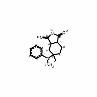 CC1(N(N)c2ccccc2)CCC2C(=O)OC(=O)C2C1